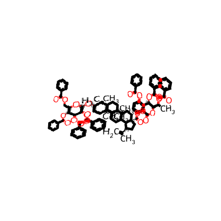 C=C(C)[C@@H]1CC[C@]2(C(=O)OOC(COC(=O)c3ccccc3)[C@@H](OC(=O)c3ccccc3)C(OC(=O)c3ccccc3)C(C)OC(=O)c3ccccc3)CC[C@]3(C)C(CCC4[C@@]5(C)CC[C@H](O[C@@H]6OC(COC(=O)c7ccccc7)[C@@H](OC(=O)c7ccccc7)C(OC(=O)c7ccccc7)C6OC(=O)c6ccccc6)C(C)(C)C5CC[C@]43C)C12